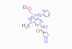 CCOCCn1nc(C)c2nc(NC(=O)[C@H]3CCNC3)nc(Nc3ccccn3)c21